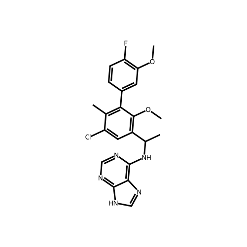 COc1cc(-c2c(C)c(Cl)cc(C(C)Nc3ncnc4[nH]cnc34)c2OC)ccc1F